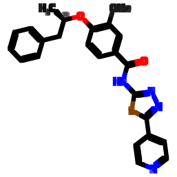 COc1cc(C(=O)Nc2nnc(-c3ccncc3)s2)ccc1O[C@H](C)Cc1ccccc1